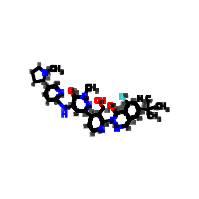 CN1CCC[C@H]1c1ccc(Nc2cc(-c3ccnc(-n4ncc5cc(C(C)(C)C)cc(F)c5c4=O)c3CO)nn(C)c2=O)nc1